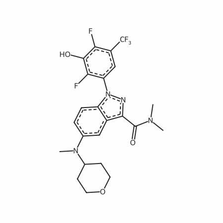 CN(C)C(=O)c1nn(-c2cc(C(F)(F)F)c(F)c(O)c2F)c2ccc(N(C)C3CCOCC3)cc12